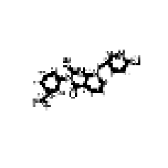 O=c1c2cccn(Cc3ccc(Cl)nc3)c-2nc(=S)n1-c1cccc(C(F)F)c1